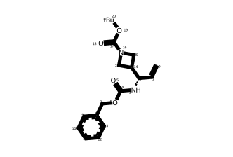 C=C[C@H](NC(=O)OCc1ccccc1)C1CN(C(=O)OC(C)(C)C)C1